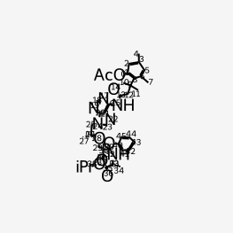 CC(=O)Oc1cc(C)cc(C)c1C(C)(C)CC(=O)Nc1ncnc2c1ncn2C[C@@H](C)OCP(=O)(N[C@@H](C)C(=O)OC(C)C)Oc1ccccc1